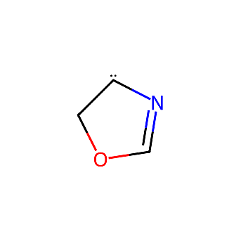 [C]1COC=N1